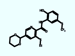 CCSc1cc(C2OCCCO2)cnc1C(=O)Nc1cc(SC(F)(F)F)ccc1O